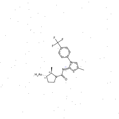 Cc1cn(-c2ccc(C(F)(F)F)cc2)/c(=N/C(=O)N2CC[C@H]([AsH2])[C@H]2C)s1